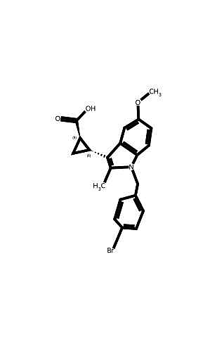 COc1ccc2c(c1)c([C@@H]1C[C@H]1C(=O)O)c(C)n2Cc1ccc(Br)cc1